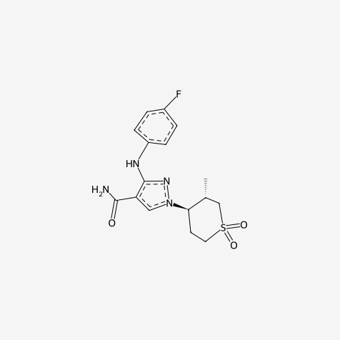 C[C@@H]1CS(=O)(=O)CC[C@H]1n1cc(C(N)=O)c(Nc2ccc(F)cc2)n1